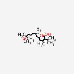 COC(C)(C)CCC[C@H](C)CC=CC(C)=C(C(=O)O)C(C)C